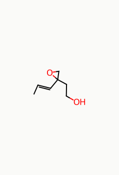 CC=CC1(CCO)CO1